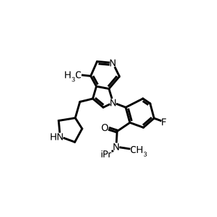 Cc1cncc2c1c(CC1CCNC1)cn2-c1ccc(F)cc1C(=O)N(C)C(C)C